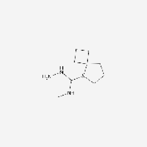 CNC(NN)N1CCCC12CCC2